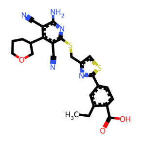 CCc1cc(-c2nc(CSc3nc(N)c(C#N)c(C4CCCOC4)c3C#N)cs2)ccc1C(=O)O